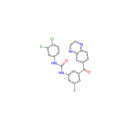 O=C(Nc1cc(F)cc(C(=O)c2ccc3nccnc3c2)c1)Nc1ccc(Cl)c(F)c1